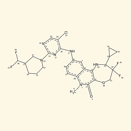 Cn1c(=O)c2c(c3cc(Nc4nc(N5CCCC(C(F)F)C5)ncc4Cl)ccc31)NC(C1CC1)C(F)(F)CO2